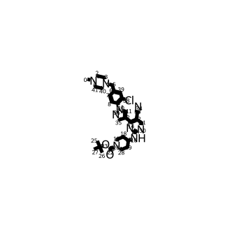 CN1CCN(Cc2ccc(-n3cc(-c4nc(NC5CCN(C(=O)OC(C)(C)C)CC5)ncc4C#N)cn3)c(Cl)c2)CC1